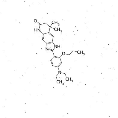 CCCOc1cc(N(CC)CC)ccc1-c1nc2cc3c(cc2[nH]1)C(C)(C)CC(=O)N3